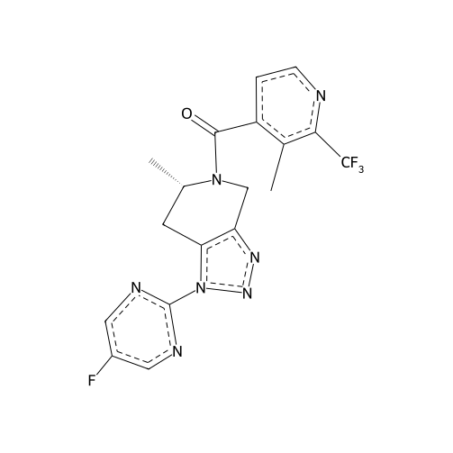 Cc1c(C(=O)N2Cc3nnn(-c4ncc(F)cn4)c3C[C@@H]2C)ccnc1C(F)(F)F